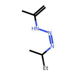 C=C(C)N/N=N\C(C)CC